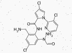 NCc1cc(Cl)cc(N(N)C=O)c1NC(=O)c1cc(Cl)cn1-c1ncccc1Cl